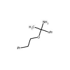 CCCC(C)(N)OCCC(C)C